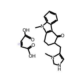 CN1CNC=C1CC1CCc2c(c3ccccc3n2C)C1=O.O=C(O)/C=C\C(=O)O